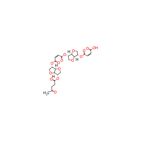 CC(=O)CCC(=O)O[C@H]1CO[C@H]2[C@@H]1OC[C@@H]2OC(=O)/C=C\C(=O)O[C@H]1CO[C@H]2[C@@H]1OC[C@@H]2OC(=O)/C=C\C(=O)O